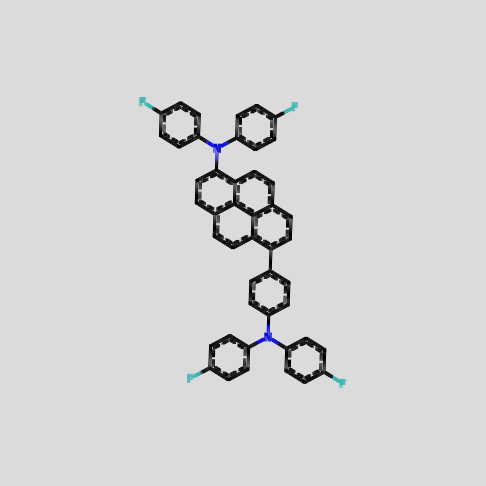 Fc1ccc(N(c2ccc(F)cc2)c2ccc(-c3ccc4ccc5c(N(c6ccc(F)cc6)c6ccc(F)cc6)ccc6ccc3c4c65)cc2)cc1